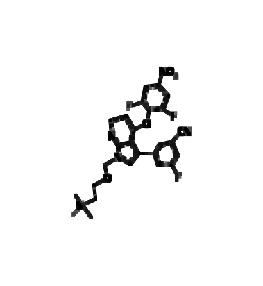 C[Si](C)(C)CCOCn1cc(-c2cc(F)cc(C#N)c2)c2c(Oc3c(F)cc([N+](=O)[O-])cc3F)ccnc21